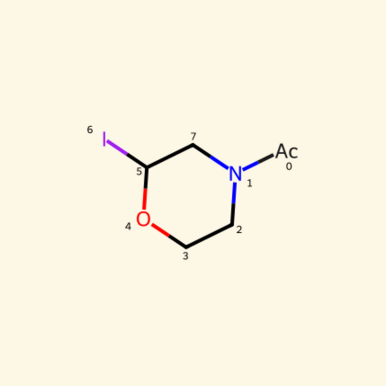 CC(=O)N1CCOC(I)C1